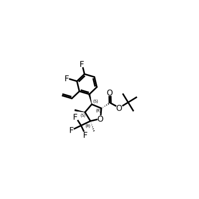 C=Cc1c([C@H]2[C@H](C(=O)OC(C)(C)C)O[C@@](C)(C(F)(F)F)[C@H]2C)ccc(F)c1F